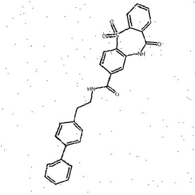 O=C(NCCc1ccc(-c2ccccc2)cc1)c1ccc2c(c1)NC(=O)c1ccccc1S2(=O)=O